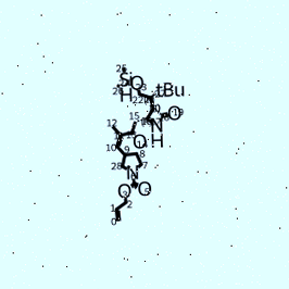 C=CCOC(=O)N1CCC(C=C(C)C(=O)C[C@H]2NC(=O)[C@H]2[C@@H](CO[SiH](C)C)C(C)(C)C)C1